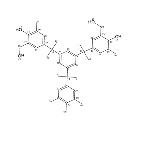 Cc1cc(C(C)(C)c2cc(C(C)(C)c3cc(C)c(O)c(CO)c3)cc(C(C)(C)c3cc(C)c(O)c(CO)c3)c2)cc(C)c1C